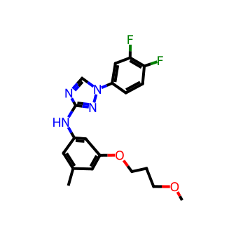 COCCCOc1cc(C)cc(Nc2ncn(-c3ccc(F)c(F)c3)n2)c1